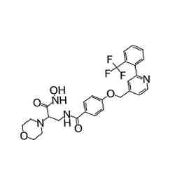 O=C(NCC(C(=O)NO)N1CCOCC1)c1ccc(OCc2ccnc(-c3ccccc3C(F)(F)F)c2)cc1